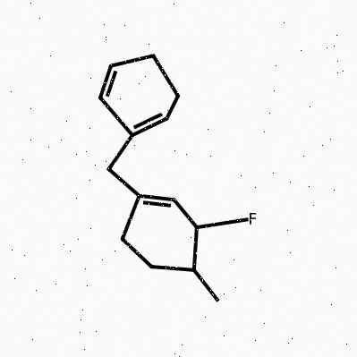 CC1CCC(CC2=CCCC=C2)=CC1F